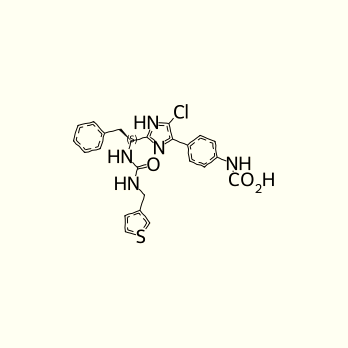 O=C(O)Nc1ccc(-c2nc([C@H](Cc3ccccc3)NC(=O)NCc3ccsc3)[nH]c2Cl)cc1